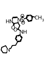 Cc1ccc(S(=O)(=O)N2C=CNC(=O)C2CC(=O)Nc2ccc(CCCN3CCCCC3)cc2)cc1